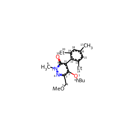 CCCCOc1c(COC)nn(C)c(=O)c1-c1c(CC)cc(C)cc1CC